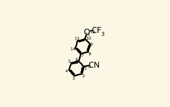 N#Cc1c[c]ccc1-c1ccc(OC(F)(F)F)cc1